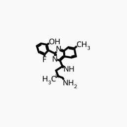 Cc1ccc2c(C(=N)C[C@H](C)CN)nc(-c3c(O)cccc3F)nc2c1